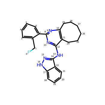 FCc1ccccc1-c1nc2c(c(Nc3n[nH]c4ccccc34)n1)CCCCCC2